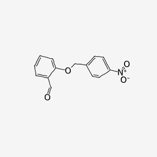 O=Cc1ccccc1OCc1ccc([N+](=O)[O-])cc1